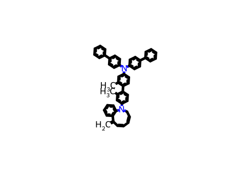 C=C1/C=C\C=C/CN(c2ccc(-c3ccc(N(c4ccc(-c5ccccc5)cc4)c4ccc(-c5ccccc5)cc4)cc3C)c(C)c2)c2ccccc21